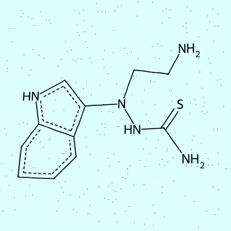 NCCN(NC(N)=S)c1c[nH]c2ccccc12